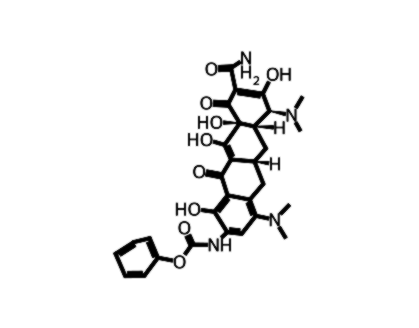 CN(C)c1cc(NC(=O)Oc2ccccc2)c(O)c2c1C[C@H]1C[C@H]3[C@H](N(C)C)C(O)=C(C(N)=O)C(=O)[C@@]3(O)C(O)=C1C2=O